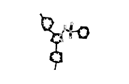 Cc1ccc(-c2cc(-c3ccc(C)cc3)n(NS(=O)(=O)c3ccccc3)n2)cc1